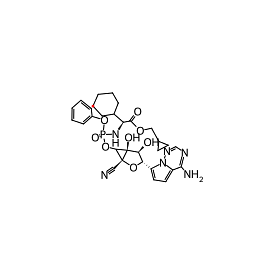 N#C[C@]12O[C@@H](c3ccc4c(N)ncnn34)[C@H](O)[C@@]1(O)C2OP(=O)(N[C@H](C(=O)OCC1CC1)C1CCCCC1)Oc1ccccc1